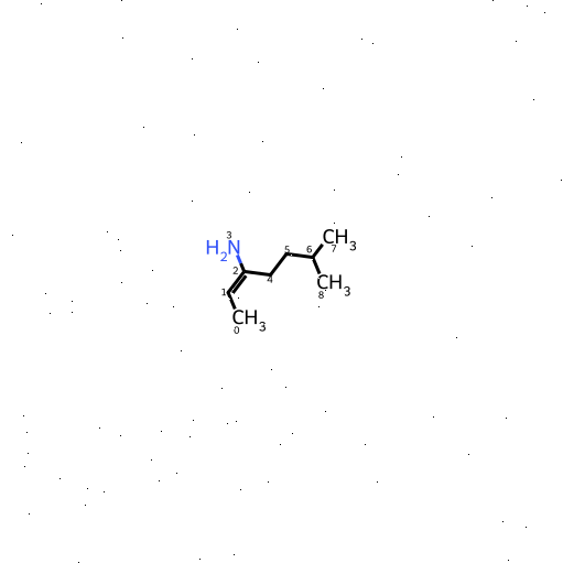 C/C=C(/N)CCC(C)C